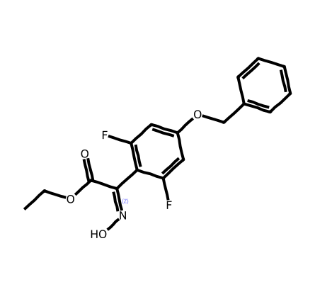 CCOC(=O)/C(=N\O)c1c(F)cc(OCc2ccccc2)cc1F